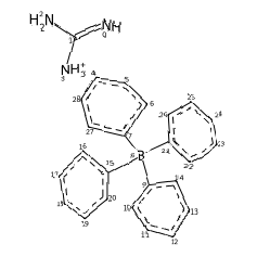 N=C(N)[NH3+].c1ccc([B-](c2ccccc2)(c2ccccc2)c2ccccc2)cc1